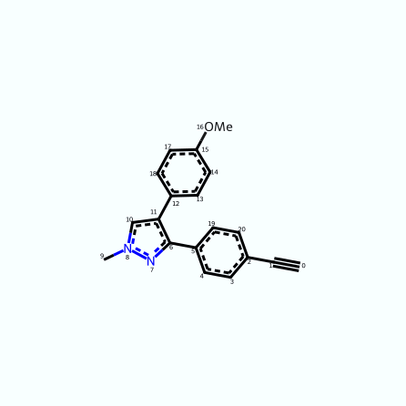 C#Cc1ccc(-c2nn(C)cc2-c2ccc(OC)cc2)cc1